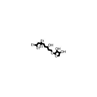 CCC(CC)CC(CC)(CC)CCC(O)CCOC1OCC(O)C1O